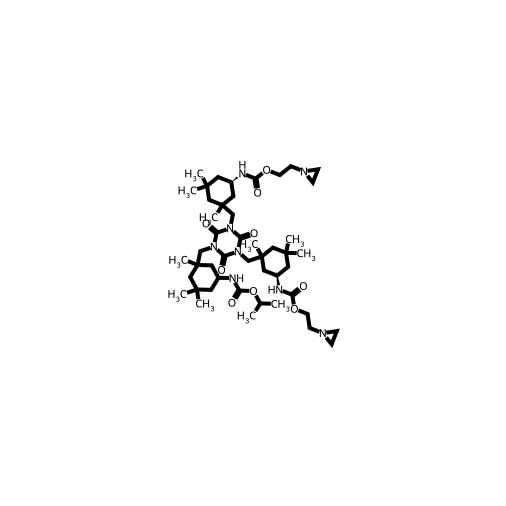 CC(C)OC(=O)NC1CC(C)(C)CC(C)(Cn2c(=O)n(CC3(C)C[C@H](NC(=O)OCCN4CC4)CC(C)(C)C3)c(=O)n(CC3(C)C[C@@H](NC(=O)OCCN4CC4)CC(C)(C)C3)c2=O)C1